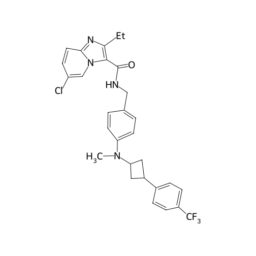 CCc1nc2ccc(Cl)cn2c1C(=O)NCc1ccc(N(C)C2CC(c3ccc(C(F)(F)F)cc3)C2)cc1